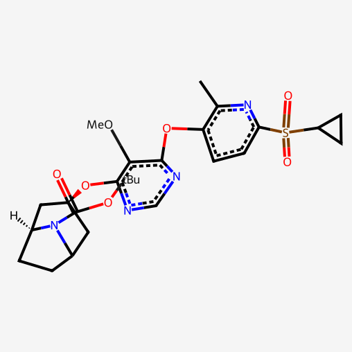 COc1c(Oc2ccc(S(=O)(=O)C3CC3)nc2C)ncnc1O[C@H]1CC2CC[C@@H](C1)N2C(=O)OC(C)(C)C